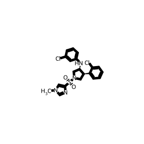 Cn1cnc(S(=O)(=O)N2C[C@H](Nc3cccc(Cl)c3)[C@@H](c3ccccc3Cl)C2)c1